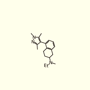 CCN(C)C1CCc2c(cccc2-c2c(C)nn(C)c2C)C1